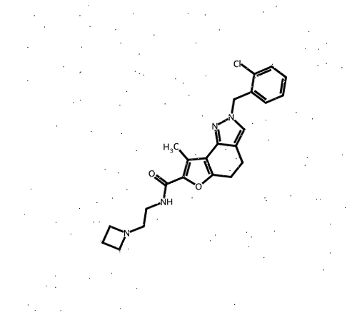 Cc1c(C(=O)NCCN2CCC2)oc2c1-c1nn(Cc3ccccc3Cl)cc1CC2